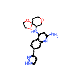 Nc1cc(NC2COCCC23OCCO3)c2ccc(-c3cc[nH]n3)cc2n1